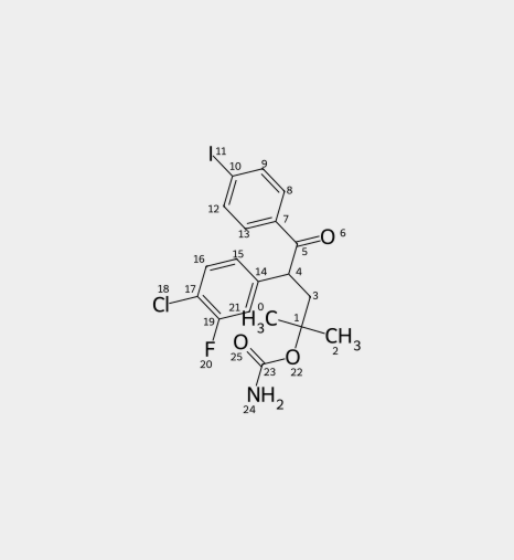 CC(C)(CC(C(=O)c1ccc(I)cc1)c1ccc(Cl)c(F)c1)OC(N)=O